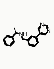 C[C@@H](NCc1cccc(-c2cncnc2)c1)c1ccccc1